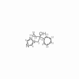 OC(Cn1cncn1)(c1ccccc1)C1CC1